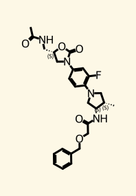 CC(=O)NC[C@H]1CN(c2ccc(N3C[C@H](C)[C@H](NC(=O)COCc4ccccc4)C3)c(F)c2)C(=O)O1